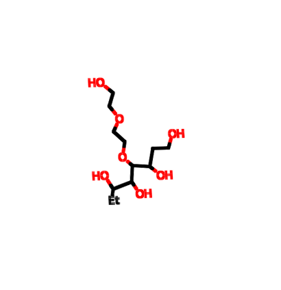 CCC(O)C(O)C(OCCOCCO)C(O)CCO